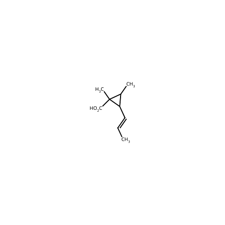 CC=CC1C(C)C1(C)C(=O)O